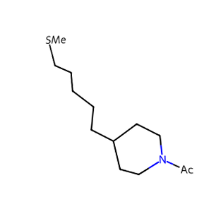 CSCCCCCC1CCN(C(C)=O)CC1